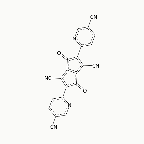 N#Cc1ccc(-c2c(C#N)c3c(=O)c(-c4ccc(C#N)cn4)c(C#N)c=3c2=O)nc1